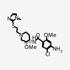 COc1cc(N)c(Cl)cc1C(=O)N[C@H]1CCN(CCSc2nccn2C)C[C@H]1OC